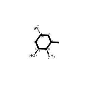 CC(C)[C@@H]1CC(C)[C@@H](N)[C@@H](O)C1